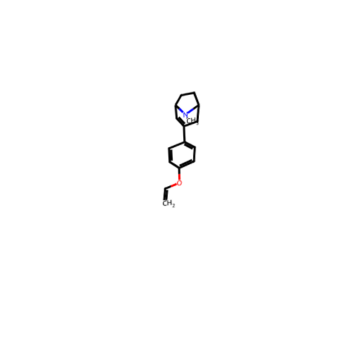 C=COc1ccc(C2=CC3CCC(C2)N3C)cc1